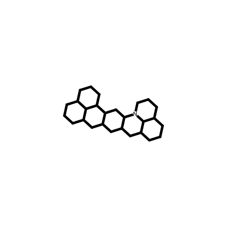 C1CC2CCCC3C4CC5C(CC4CC(C1)C23)CC1CCCC2CCCN5C21